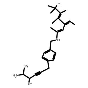 C/C=C(\C=C(/C)NCc1ccc(CC#CC(C(C)C)C(N)CCC)cc1)C(/C)=C(\C)C(C)(C)CC